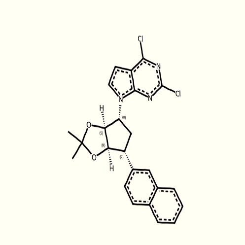 CC1(C)O[C@@H]2[C@H](O1)[C@@H](c1ccc3ccccc3c1)C[C@H]2n1ccc2c(Cl)nc(Cl)nc21